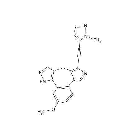 COc1ccc2c(c1)-c1[nH]ncc1Cc1c(C#Cc3ccnn3C)ncn1-2